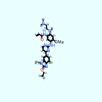 C=CC(=O)Nc1cc(Nc2nccc(-c3cc(F)c4nc(OCC(F)F)n(C(C)C)c4c3)n2)c(OC)cc1N(C)CCN(C)C